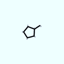 CC1[CH]CC[CH]1